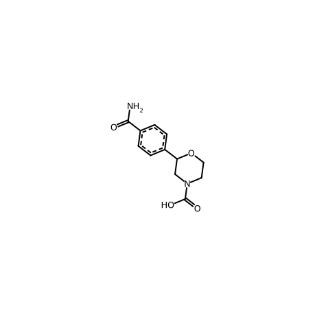 NC(=O)c1ccc(C2CN(C(=O)O)CCO2)cc1